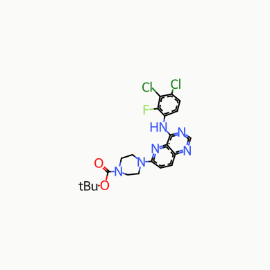 CC(C)(C)OC(=O)N1CCN(c2ccc3ncnc(Nc4ccc(Cl)c(Cl)c4F)c3n2)CC1